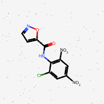 O=C(Nc1c(Cl)cc([N+](=O)[O-])cc1[N+](=O)[O-])c1ccno1